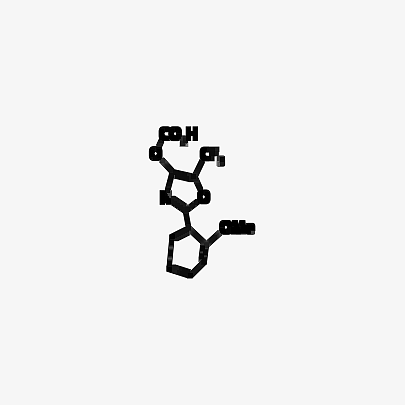 COc1ccccc1-c1nc(OC(=O)O)c(C(F)(F)F)o1